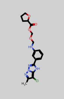 Cc1nn2nc(-c3cccc(NCOCOC(=O)C4CCCO4)c3)[nH]c2c1Cl